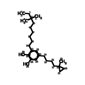 CCC(C)(C)CCCCCCc1cc(CCCCC2(C)CC2)cc(O)c1O